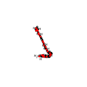 C=CC(=O)Nc1cccc(Nc2nc(Nc3ccc(Oc4cccc(C(=O)N(C)CCOCCNC(=O)CCCC(=O)NCCCOCCOCCOCCCNC(=O)CCCC5SC[C@@H]6NC(=O)N[C@H]56)c4)cc3)ncc2F)c1